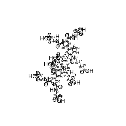 CC1(CCCS(=O)(=O)O)C(/C=C/C=C2/N(CCCCCC(=O)O)c3c(cc(-c4cc(C(=O)NCCS(=O)(=O)O)nc(C(=O)NCCS(=O)(=O)O)c4)c4sccc34)C2(C)CCCS(=O)(=O)O)=[N+](CCCS(=O)(=O)O)c2c1cc(-c1cc(C(=O)NCCS(=O)(=O)O)nc(C(=O)NCCS(=O)(=O)O)c1)c1sccc21